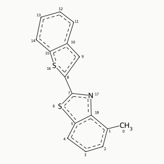 Cc1cccc2sc(-c3cc4ccccc4s3)nc12